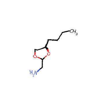 CCCCC1COC(CN)O1